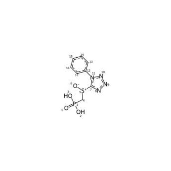 O=P(O)(O)C[S+]([O-])c1nnnn1-c1ccccc1